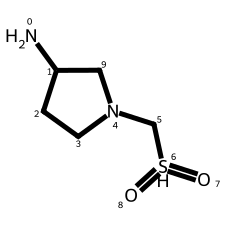 NC1CCN(C[SH](=O)=O)C1